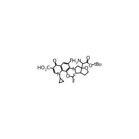 CC(C)(C)OC(=O)C(N)C12CN(c3c(F)cc4c(=O)c(C(=O)O)cn(C5CC5)c4c3OC(F)F)CC1CCO2